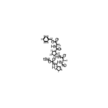 C[C@@H](NC(=O)[C@@H]1CCC[C@H]1CNC(=O)OC(C)(C)C)C(=O)NC[C@@H]1CCC[C@H]1C(=O)N[C@H](C)C(=O)OCc1ccccc1